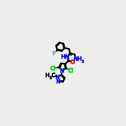 Cn1nccc1-n1c(Cl)cc(C(=O)N[C@H](CN)Cc2cccc(F)c2)c1Cl